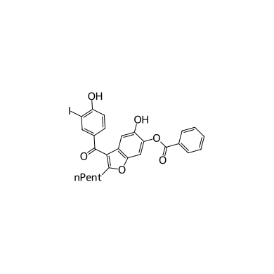 CCCCCc1oc2cc(OC(=O)c3ccccc3)c(O)cc2c1C(=O)c1ccc(O)c(I)c1